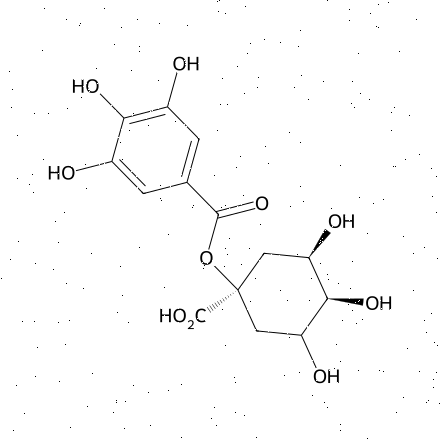 O=C(O[C@]1(C(=O)O)CC(O)[C@H](O)[C@H](O)C1)c1cc(O)c(O)c(O)c1